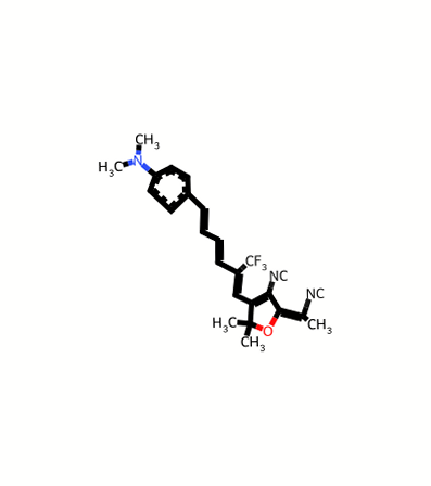 [C-]#[N+]C1=C(/C=C(/C=C/C=C/c2ccc(N(C)C)cc2)C(F)(F)F)C(C)(C)O/C1=C(\C)[N+]#[C-]